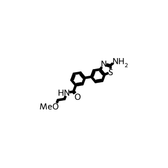 COCCNC(=O)c1cccc(-c2ccc3sc(N)nc3c2)c1